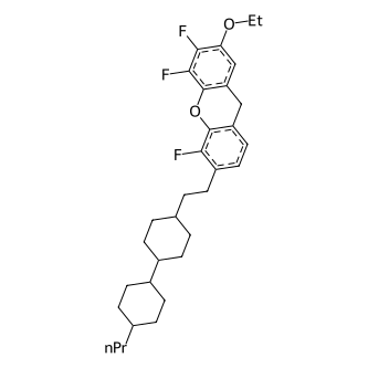 CCCC1CCC(C2CCC(CCc3ccc4c(c3F)Oc3c(cc(OCC)c(F)c3F)C4)CC2)CC1